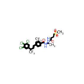 C[C@H](NC(=O)CCCS(C)(=O)=O)NC(=O)c1ccc(/C=C/C(c2cc(Cl)c(Cl)c(Cl)c2)C(F)(F)F)cc1C(F)(F)F